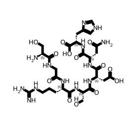 N=C(N)NCCC[C@H](NC(=O)CNC(=O)[C@@H](N)CO)C(=O)N[C@@H](CO)C(=O)N[C@@H](CC(=O)O)C(=O)N[C@@H](CC(N)=O)C(=O)N[C@@H](Cc1c[nH]cn1)C(=O)O